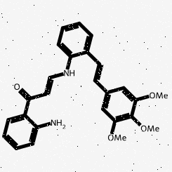 COc1cc(C=Cc2ccccc2NC=CC(=O)c2ccccc2N)cc(OC)c1OC